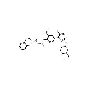 CN(CC(=O)N1CCc2ccccc2C1)Cc1ccc(-c2nc(NC3CCCC(CO)C3)ncc2Cl)cc1C=O